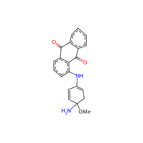 COC1(N)C=CC(Nc2cccc3c2C(=O)c2ccccc2C3=O)=CC1